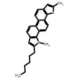 CCCCCCc1cc2ccc3c4ccc5cc(C)sc5c4ccc3c2n1C